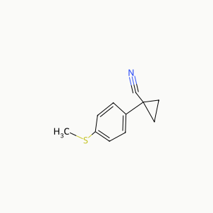 CSc1ccc(C2(C#N)CC2)cc1